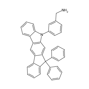 NCc1cccc(-n2c3ccccc3c3cc4c(cc32)C(c2ccccc2)(c2ccccc2)c2ccccc2-4)c1